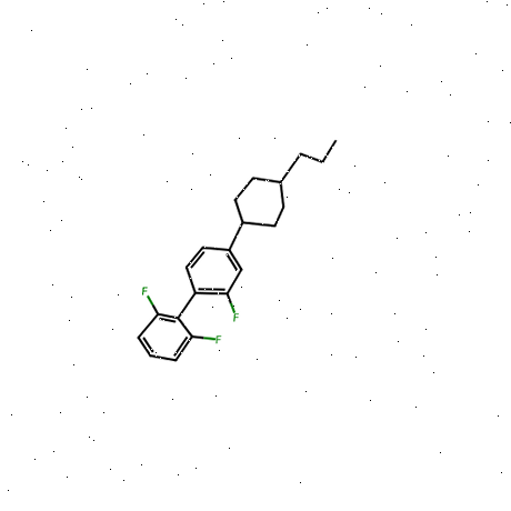 CCCC1CCC(c2ccc(-c3c(F)cccc3F)c(F)c2)CC1